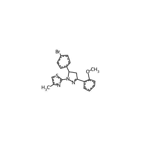 COc1ccccc1C1=NN(c2nc(C)cs2)C(c2ccc(Br)cc2)C1